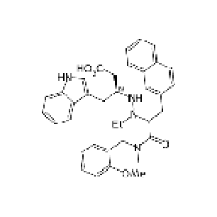 CCN(N[C@H](CC(=O)O)Cc1c[nH]c2ccccc12)C(Cc1ccc2ccccc2c1)C(=O)N(C)Cc1ccccc1OC